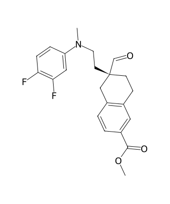 COC(=O)c1ccc2c(c1)CC[C@](C=O)(CCN(C)c1ccc(F)c(F)c1)C2